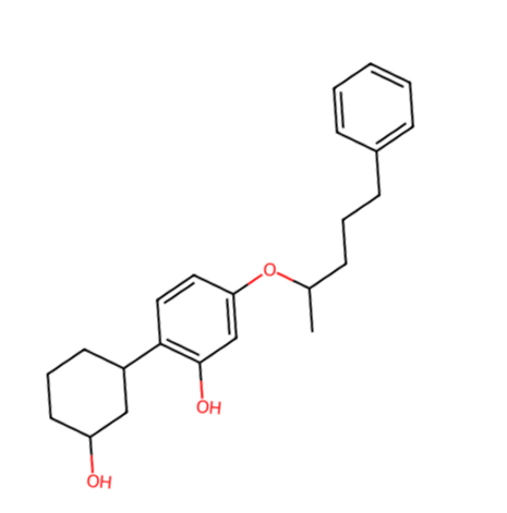 CC(CCCc1ccccc1)Oc1ccc(C2CCCC(O)C2)c(O)c1